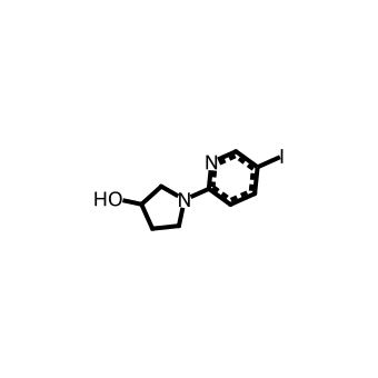 OC1CCN(c2ccc(I)cn2)C1